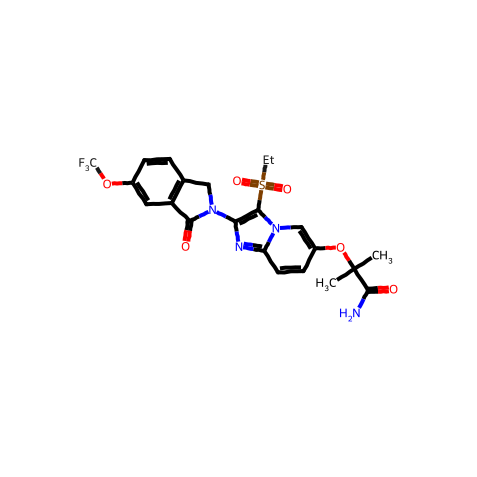 CCS(=O)(=O)c1c(N2Cc3ccc(OC(F)(F)F)cc3C2=O)nc2ccc(OC(C)(C)C(N)=O)cn12